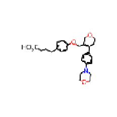 O=C(O)CCCc1ccc(OCC2=C(c3ccc(N4CCOCC4)cc3)CCOC2)cc1